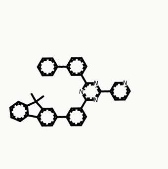 CC1(C)c2ccccc2-c2ccc(-c3cccc(-c4nc(-c5cccnc5)nc(-c5cccc(-c6ccccc6)c5)n4)c3)cc21